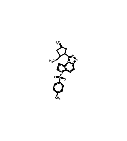 C=C1CC(CC)C(c2nnc3cnc4c(ccn4S(=O)(=O)c4ccc(C)cc4)n23)C1